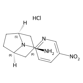 Cl.N[C@H]1C[C@H]2CC[C@@H](C1)N2c1ccc([N+](=O)[O-])cn1